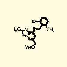 CCc1cccc(C)c1CNc1cc(COC)cn2nc(C)nc12